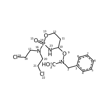 O=C(O)N(Cc1ccccc1)OC1CCOP(=O)(N(CCCl)CCCl)N1